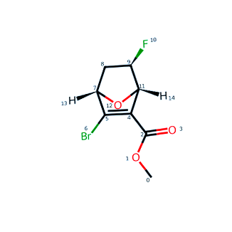 COC(=O)C1=C(Br)[C@@H]2C[C@@H](F)[C@H]1O2